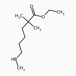 CBCCCCC(C)(C)C(=O)OCC